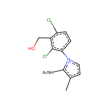 CC(=O)Nc1c(C)ccn1-c1ccc(Cl)c(CO)c1Cl